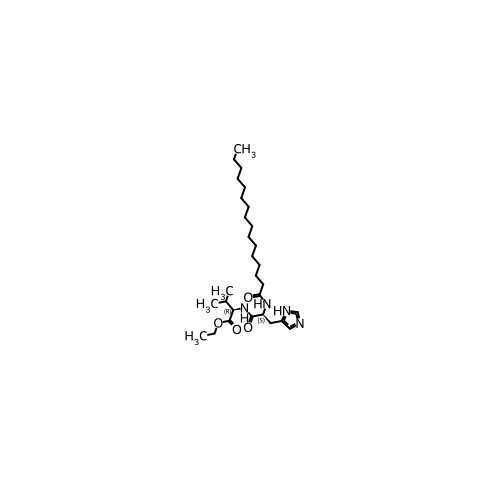 CCCCCCCCCCCCCCCC(=O)N[C@@H](Cc1cnc[nH]1)C(=O)N[C@@H](C(=O)OCC)C(C)C